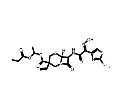 C=CC1(C(=O)OC(C)OC(=O)CC)CS[C@@H]2C(NC(=O)C(=NO)c3csc(N)n3)C(=O)N2C1